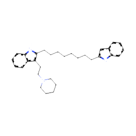 c1ccc2[nH]c(CCCCCCCCc3[nH]c4ccccc4c3CCN3CCCCC3)cc2c1